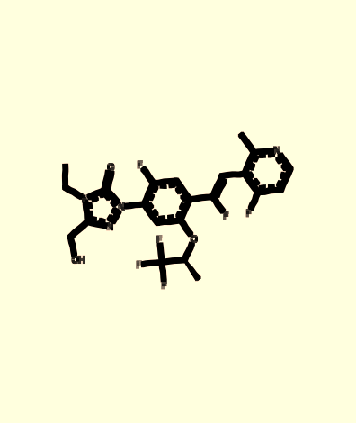 CCn1c(CO)nn(-c2cc(O[C@@H](C)C(F)(F)F)c(/C(F)=C/c3c(F)ccnc3C)cc2F)c1=O